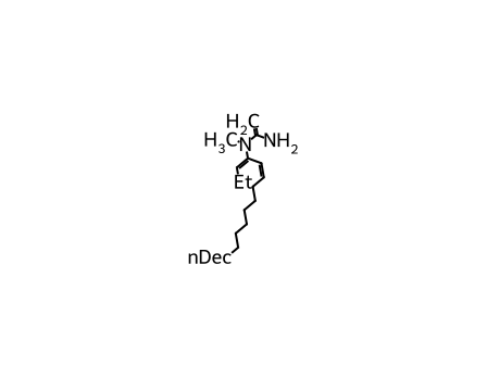 C=C(N)N(C)C(/C=C\CCCCCCCCCCCCCCCC)=C/CC